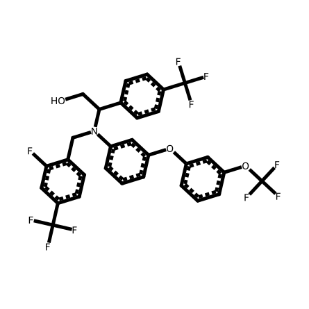 OCC(c1ccc(C(F)(F)F)cc1)N(Cc1ccc(C(F)(F)F)cc1F)c1cccc(Oc2cccc(OC(F)(F)F)c2)c1